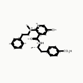 C[C@@H](Cc1ccc(C(=O)O)cc1)NC(=O)c1cc(Cl)cnc1N(C)CCc1ccccc1